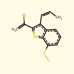 C=C(Cl)c1sc2c(SF)cccc2c1/C=C\C